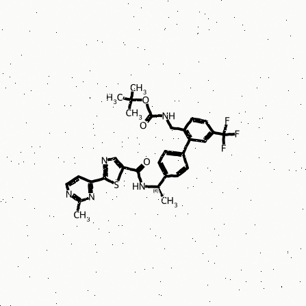 Cc1nccc(-c2ncc(C(=O)N[C@H](C)c3ccc(-c4cc(C(F)(F)F)ccc4CNC(=O)OC(C)(C)C)cc3)s2)n1